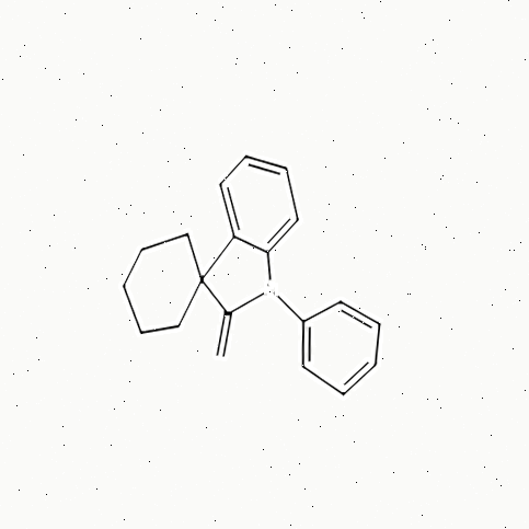 C=C1N(c2ccccc2)c2ccccc2C12CCCCC2